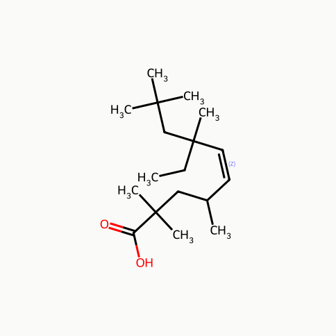 CCC(C)(/C=C\C(C)CC(C)(C)C(=O)O)CC(C)(C)C